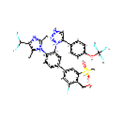 Cc1nc(C(F)F)c(C)n1-c1ccc(-c2cc(F)c(CO)c(S(C)(=O)=O)c2)cc1-n1nncc1-c1ccc(OC(F)(F)F)cc1